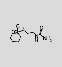 C[Si]1(CCCNC(N)=O)CCCCO1